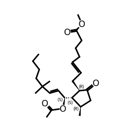 CCCCC(C)(C)C=C[C@H](OC(C)=O)[C@H]1[C@H](C)CC(=O)[C@@H]1CC=CCCCC(=O)OC